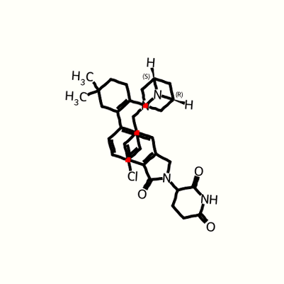 CC1(C)CCC(CN2[C@@H]3C[C@H]2CN(Cc2ccc4c(c2)CN(C2CCC(=O)NC2=O)C4=O)C3)=C(c2ccc(Cl)cc2)C1